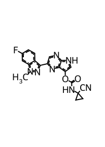 Cn1nc(-c2cnc3[nH]cc(OC(=O)NC4(C#N)CC4)c3n2)c2ccc(F)cc21